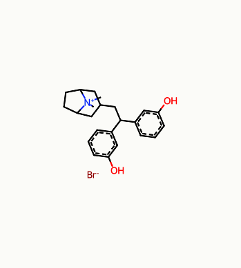 C[N+]1(C)C2CCC1CC(CC(c1cccc(O)c1)c1cccc(O)c1)C2.[Br-]